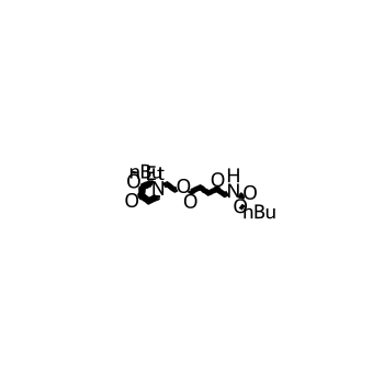 CCCCOC(=O)NCC(=O)CCC(=O)OCCn1ccc(=O)c(OCCCC)c1CC